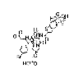 CC(C)(C)C(NC(=O)c1cc2cc(C(F)(F)P(=O)(O)O)ccc2s1)C(=O)N1C[C@@H](OCC(=O)O)C[C@H]1C(=O)N(CCC(=O)O)c1ccc(Br)cc1